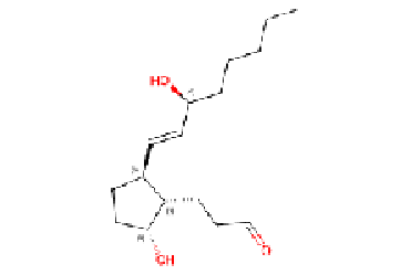 CCCCC[C@H](O)C=C[C@@H]1CC[C@@H](O)[C@H]1CCC=O